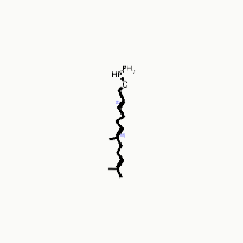 CC(C)=CCC/C(C)=C/CC/C=C/COPP